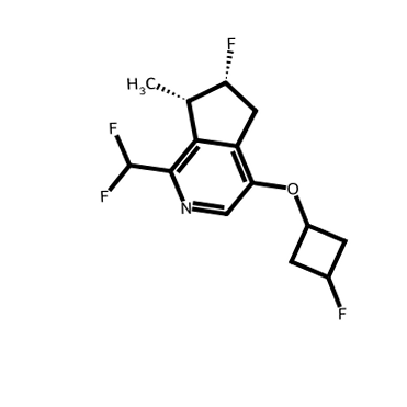 C[C@H]1c2c(C(F)F)ncc(OC3CC(F)C3)c2C[C@H]1F